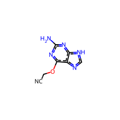 N#CCOc1nc(N)nc2[nH]cnc12